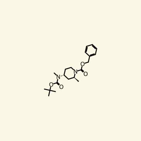 C[C@H]1C[C@H](N(C)C(=O)OC(C)(C)C)CCN1C(=O)OCc1ccccc1